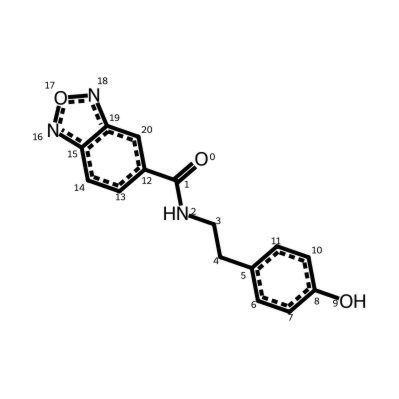 O=C(NCCc1ccc(O)cc1)c1ccc2nonc2c1